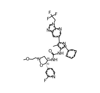 COCCN1C[C@@H](NC(=O)Nc2c(C)c(-c3cnc4c(c3)ncn4CC(F)(F)F)nn2-c2ccccc2)[C@H](c2ccnc(F)c2)O1